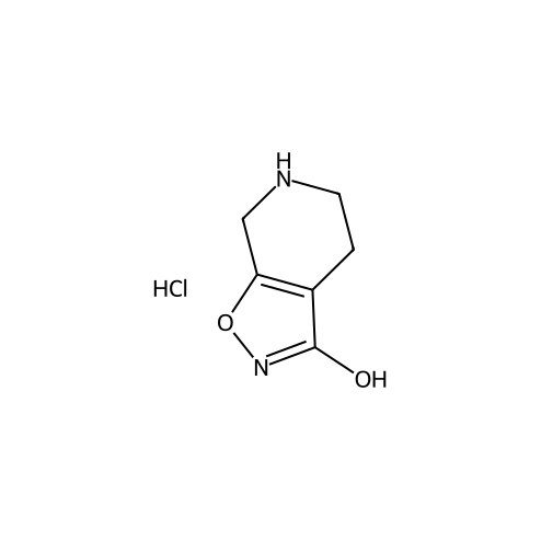 Cl.Oc1noc2c1CCNC2